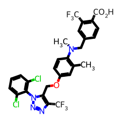 Cc1cc(OCc2c(C(F)(F)F)nnn2-c2c(Cl)cccc2Cl)ccc1N(C)Cc1ccc(C(=O)O)c(C(F)(F)F)c1